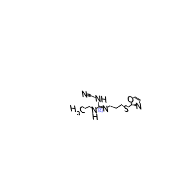 CCN/C(=N/CCCSc1ncco1)NC#N